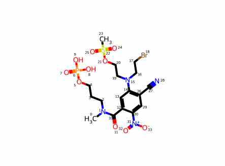 CN(CCCOP(=O)(O)O)C(=O)c1cc(N(CCBr)CCOS(C)(=O)=O)c(C#N)cc1[N+](=O)[O-]